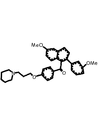 COc1cccc(-c2ccc3cc(OC)ccc3c2C(=O)c2ccc(OCCCN3CCCCC3)cc2)c1